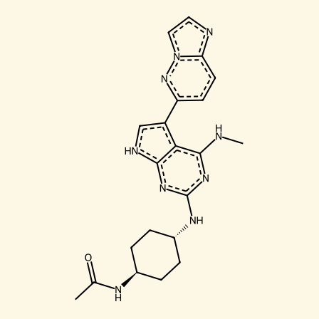 CNc1nc(N[C@H]2CC[C@H](NC(C)=O)CC2)nc2[nH]cc(-c3ccc4nccn4n3)c12